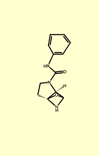 O=C(Nc1ccccc1)N1CC[C@@]23NC(O2)[C@H]13